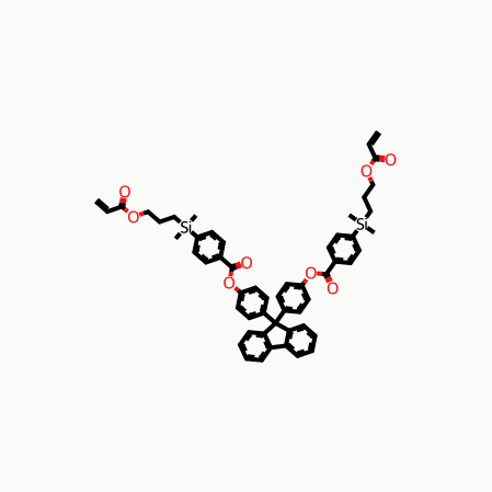 C=CC(=O)OCCC[Si](C)(C)c1ccc(C(=O)Oc2ccc(C3(c4ccc(OC(=O)c5ccc([Si](C)(C)CCCOC(=O)C=C)cc5)cc4)c4ccccc4-c4ccccc43)cc2)cc1